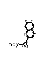 CCOC(=O)C1OC1c1ccc2ccccc2n1